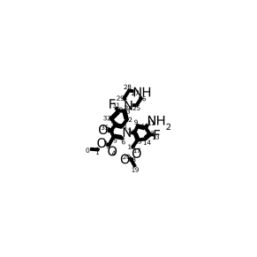 CCOC(=O)c1cn(-c2cc(N)c(F)cc2COC(C)=O)c2cc(N3CCNCC3)c(F)cc2c1=O